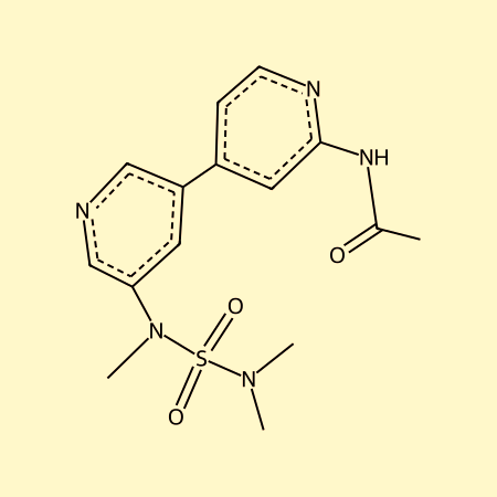 CC(=O)Nc1cc(-c2cncc(N(C)S(=O)(=O)N(C)C)c2)ccn1